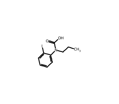 CCCN(C(=O)O)c1ccccc1I